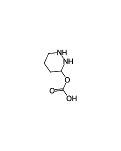 O=C(O)OC1CCCNN1